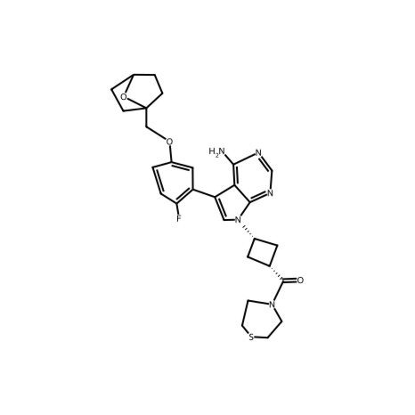 Nc1ncnc2c1c(-c1cc(OCC34CCC(CC3)O4)ccc1F)cn2[C@H]1C[C@@H](C(=O)N2CCSCC2)C1